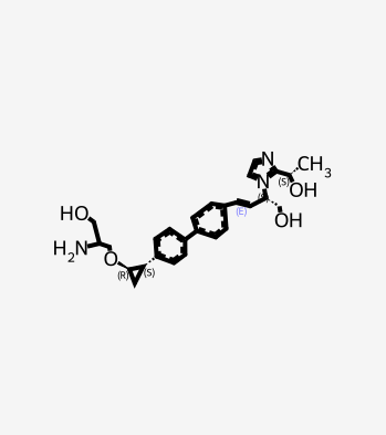 C[C@H](O)c1nccn1[C@@H](/C=C/c1ccc(-c2ccc([C@@H]3C[C@H]3OCC(N)CO)cc2)cc1)CO